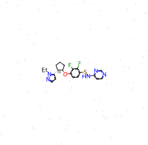 CCn1nccc1[C@@H]1CCCC1Oc1ccc(SNc2ccncn2)c(F)c1F